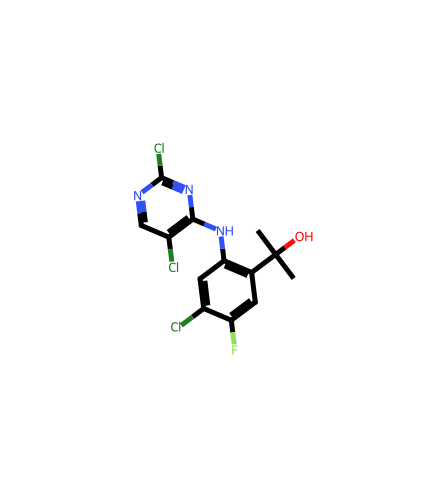 CC(C)(O)c1cc(F)c(Cl)cc1Nc1nc(Cl)ncc1Cl